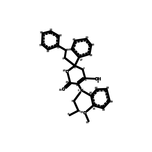 CCCN(C1=C(O)CC(CCc2ccccc2)(c2ccccc2)OC1=O)c1ccccc1OC